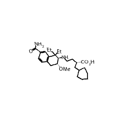 CCC1(CC)c2cc(C(N)=O)ccc2C[C@@H](OC)[C@@H]1NCC[C@@H](CC1CCCCC1)C(=O)O